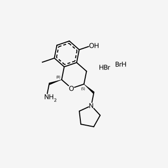 Br.Br.Cc1ccc(O)c2c1[C@H](CN)O[C@H](CN1CCCC1)C2